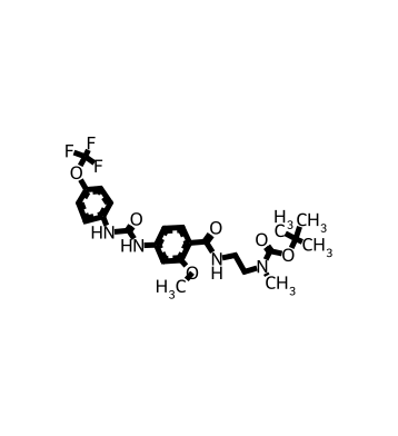 COc1cc(NC(=O)Nc2ccc(OC(F)(F)F)cc2)ccc1C(=O)NCCN(C)C(=O)OC(C)(C)C